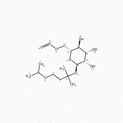 CC(C)OCCC(C)(C)O[C@H]1O[C@H](COP=O)[C@@H](O)[C@H](O)[C@@H]1O